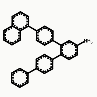 Nc1ccc(-c2ccc(-c3ccccc3)cc2)c(-c2ccc(-c3cccc4ccccc34)cc2)c1